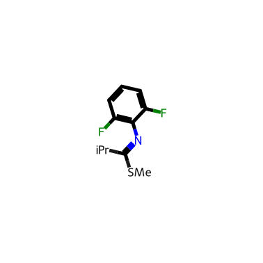 CSC(=Nc1c(F)cccc1F)C(C)C